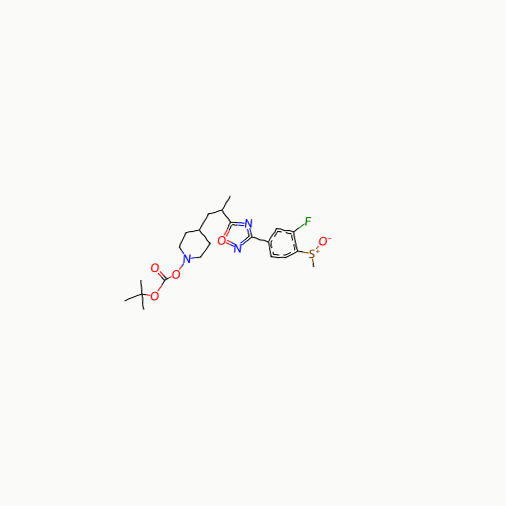 CC(CC1CCN(OC(=O)OC(C)(C)C)CC1)c1nc(-c2ccc([S+](C)[O-])c(F)c2)no1